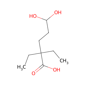 CCC(CC)(CCC(O)O)C(=O)O